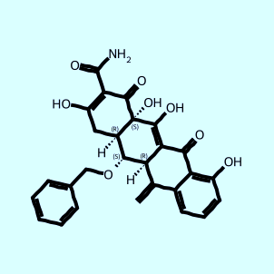 C=C1c2cccc(O)c2C(=O)C2=C(O)[C@]3(O)C(=O)C(C(N)=O)=C(O)C[C@@H]3[C@@H](OCc3ccccc3)[C@H]12